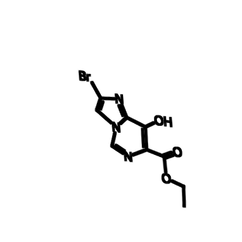 CCOC(=O)c1ncn2cc(Br)nc2c1O